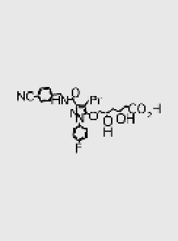 CC(C)c1c(C(=O)NCc2ccc(C#N)cc2)nn(-c2ccc(F)cc2)c1OC[C@@H](O)C[C@@H](O)CC(=O)O